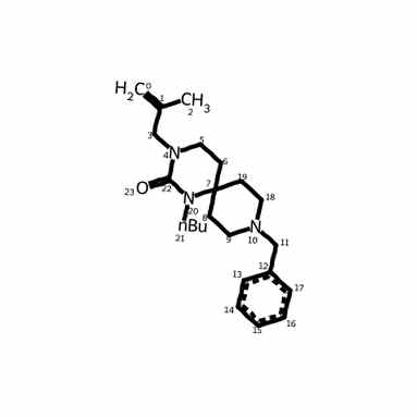 C=C(C)CN1CCC2(CCN(Cc3ccccc3)CC2)N(CCCC)C1=O